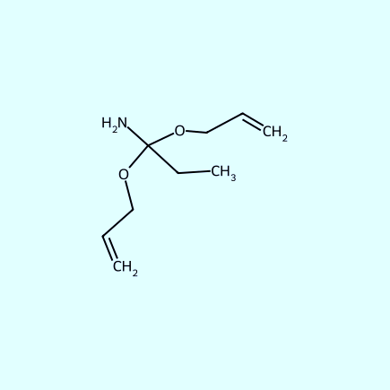 C=CCOC(N)(CC)OCC=C